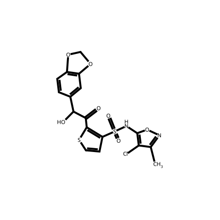 Cc1noc(NS(=O)(=O)c2ccsc2C(=O)C(O)c2ccc3c(c2)OCO3)c1Cl